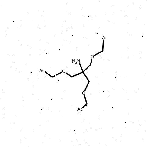 CC(=O)COCC(N)(COCC(C)=O)COCC(C)=O